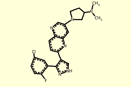 CN(C)C1CCN(c2cnc3ccc(-c4c[nH]nc4-c4cc(Cl)ccc4F)nc3c2)C1